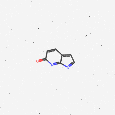 O=C1C=CC2=CC=NC2=N1